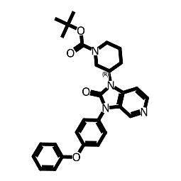 CC(C)(C)OC(=O)N1CCC[C@@H](n2c(=O)n(-c3ccc(Oc4ccccc4)cc3)c3cnccc32)C1